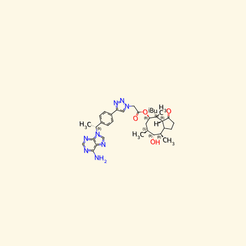 CCC(C)[C@]1(C)[C@@H]2C(=O)CCC2[C@@H](C)[C@H](O)[C@@H](C)C[C@H]1OC(=O)Cn1cc(-c2ccc([C@@H](C)n3cnc4c(N)ncnc43)cc2)nn1